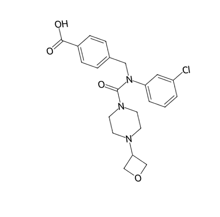 O=C(O)c1ccc(CN(C(=O)N2CCN(C3COC3)CC2)c2cccc(Cl)c2)cc1